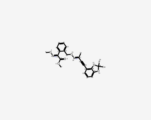 CO/N=C(/C(=O)OC)c1ccccc1CO/N=C(\C)C#Cc1cccc2c1OC(F)(I)O2